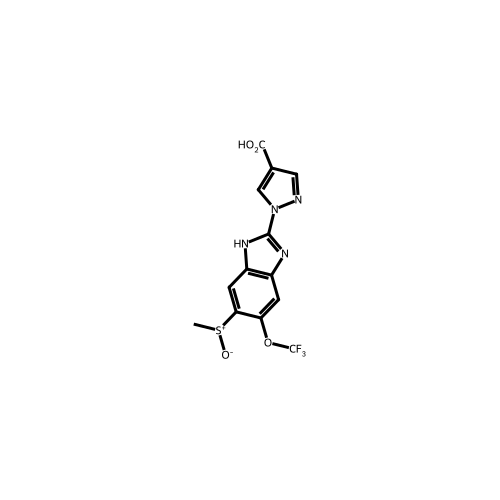 C[S+]([O-])c1cc2[nH]c(-n3cc(C(=O)O)cn3)nc2cc1OC(F)(F)F